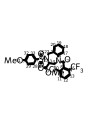 COC(=O)C1CN(C(=O)c2c(Cl)cccc2C(F)(F)F)c2ccccc2CN1S(=O)(=O)c1ccc(OC)cc1